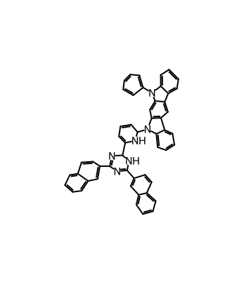 C1=CC(n2c3ccccc3c3cc4c5ccccc5n(-c5ccccc5)c4cc32)NC(C2N=C(c3ccc4ccccc4c3)N=C(c3ccc4ccccc4c3)N2)=C1